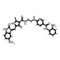 Cc1[nH]c(C=C2C(=O)Nc3ccc([N+](=O)[O-])cc32)c(C)c1C(=O)NCCNc1ccc(C(=O)Nc2ccccc2N)cn1